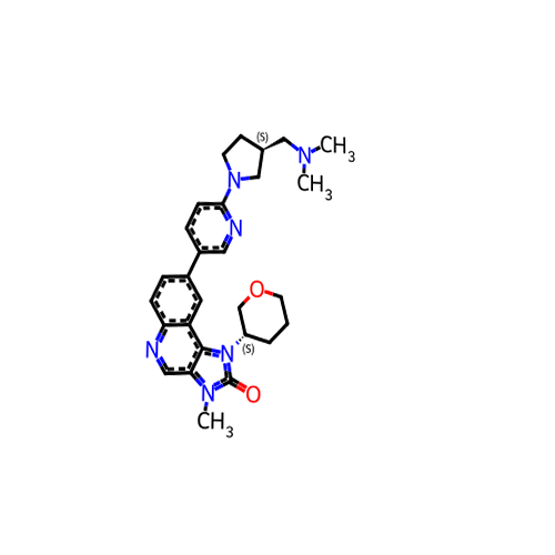 CN(C)C[C@@H]1CCN(c2ccc(-c3ccc4ncc5c(c4c3)n([C@H]3CCCOC3)c(=O)n5C)cn2)C1